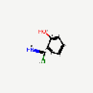 N=CCl.Oc1ccccc1